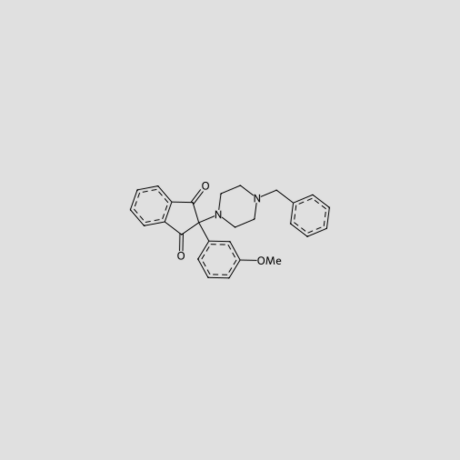 COc1cccc(C2(N3CCN(Cc4ccccc4)CC3)C(=O)c3ccccc3C2=O)c1